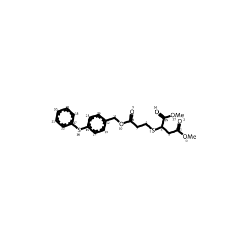 COC(=O)CC(SCCC(=O)OCc1ccc(Sc2ccccc2)cc1)C(=O)OC